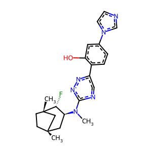 CN(c1ncc(-c2ccc(-n3ccnc3)cc2O)nn1)[C@H]1C[C@]2(C)CC[C@@](C)(C2)[C@@H]1F